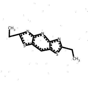 CCc1nc2nc3nc(CC)sc3cc2s1